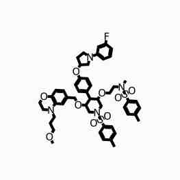 COCCCN1CCOc2ccc(COC3CN(S(=O)(=O)c4ccc(C)cc4)CC(OCCN(C)S(=O)(=O)c4ccc(C)cc4)C3c3ccc(OC4CCN(c5cccc(F)c5)C4)cc3)cc21